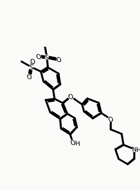 CS(=O)(=O)c1ccc(-c2ccc3cc(O)ccc3c2Oc2ccc(OCCC3CCCCN3)cc2)cc1S(C)(=O)=O